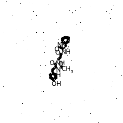 CC(=O)NC(Cc1ccc(O)cc1)C(=O)NCCC(=O)N[C@H](Cc1ccccc1)C(N)=O